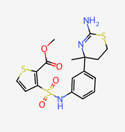 COC(=O)c1sccc1S(=O)(=O)Nc1cccc(C2(C)CCSC(N)=N2)c1